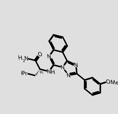 COc1cccc(-c2nc3c4ccccc4nc(N[C@H](CC(C)C)C(N)=O)n3n2)c1